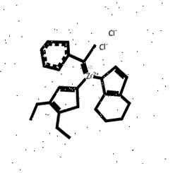 CCC1=C(CC)C[C](/[Zr+2](=[C](/C)c2ccccc2)[CH]2C=CC3=C2CCCC3)=C1.[Cl-].[Cl-]